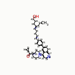 CCC/C(=C\CC/C=C/c1ccc(C2=CCC3=CN=CC=C(N4CC/C=C(\C(=O)C5CC5)CCC4)C3=C2)cc1)CCCO